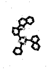 c1ccc(-c2nc(-c3cccc4ccccc34)nc(-c3cccc4c3oc3c5ccccc5ccc43)n2)cc1